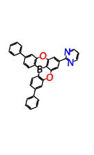 c1ccc(-c2ccc3c(c2)Oc2cc(-c4ncccn4)cc4c2B3c2ccc(-c3ccccc3)cc2O4)cc1